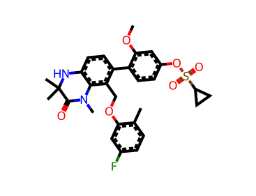 COc1cc(OS(=O)(=O)C2CC2)ccc1-c1ccc2c(c1COc1cc(F)ccc1C)N(C)C(=O)C(C)(C)N2